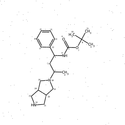 CC(CC(NC(=O)OC(C)(C)C)c1ccccc1)N1CC2CNCC2C1